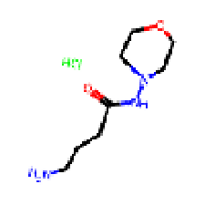 Cl.NCCCC(=O)NN1CCOCC1